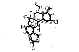 CC[C@@H]1C[C@](O)(C(F)(F)F)[C@@H](Nc2cc(F)cc3nc(C)ncc23)c2cc(Cl)cc(O)c21